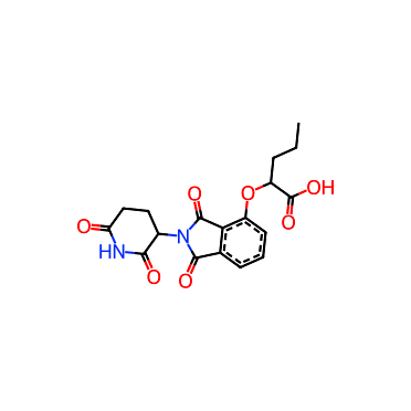 CCCC(Oc1cccc2c1C(=O)N(C1CCC(=O)NC1=O)C2=O)C(=O)O